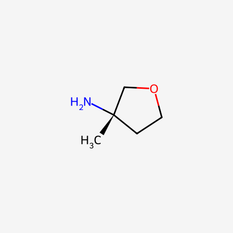 C[C@]1(N)CCOC1